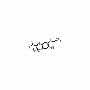 N/C(=N\c1cc(SCC(F)(F)F)c(Cl)cc1Cl)C(F)F